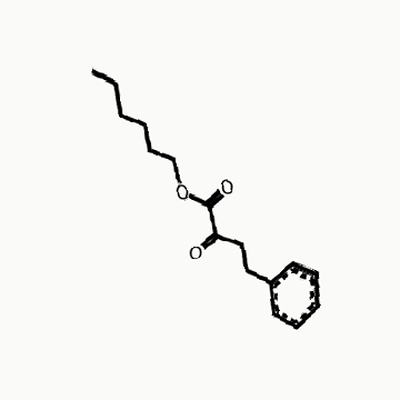 CCCCCCOC(=O)C(=O)CCc1ccccc1